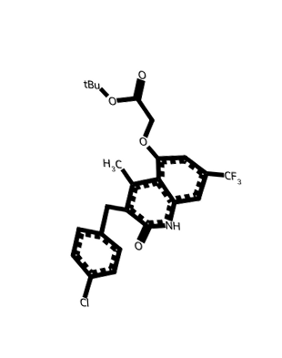 Cc1c(Cc2ccc(Cl)cc2)c(=O)[nH]c2cc(C(F)(F)F)cc(OCC(=O)OC(C)(C)C)c12